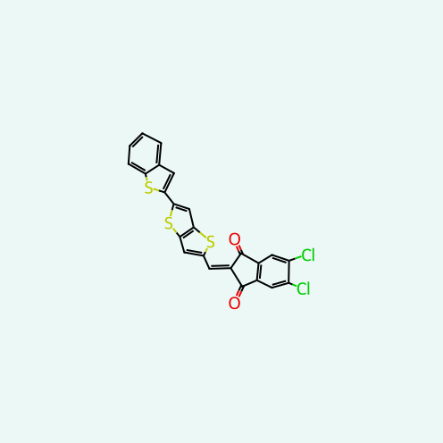 O=C1C(=Cc2cc3sc(-c4cc5ccccc5s4)cc3s2)C(=O)c2cc(Cl)c(Cl)cc21